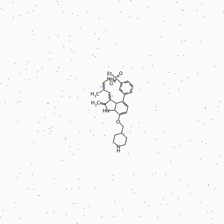 C=C1NC2C(OCC3CCNCC3)=CC=C(c3cccc(S(=O)(=O)CC)c3)C2/C1=C/C(C)=C\N